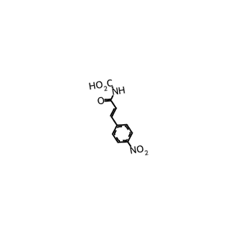 O=C(O)NC(=O)C=Cc1ccc([N+](=O)[O-])cc1